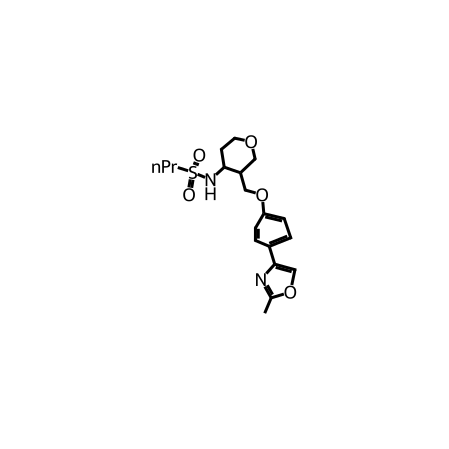 CCCS(=O)(=O)NC1CCOCC1COc1ccc(-c2coc(C)n2)cc1